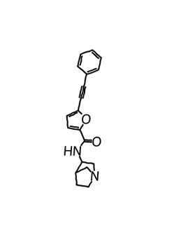 O=C(NC1CN2CCC1C2)c1ccc(C#Cc2ccccc2)o1